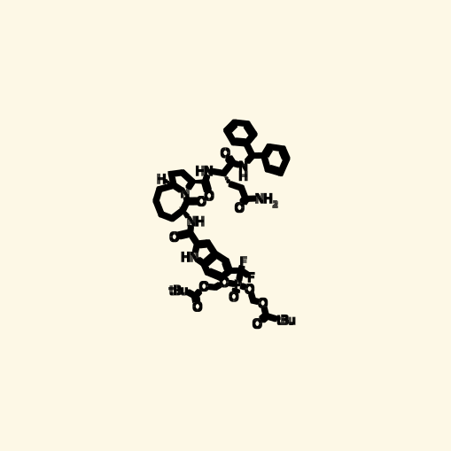 CC(C)(C)C(=O)OCOP(=O)(OCOC(=O)C(C)(C)C)C(F)(F)c1ccc2[nH]c(C(=O)N[C@H]3CCCC[C@H]4CC[C@@H](C(=O)N[C@@H](CCC(N)=O)C(=O)NC(c5ccccc5)c5ccccc5)N4C3=O)cc2c1